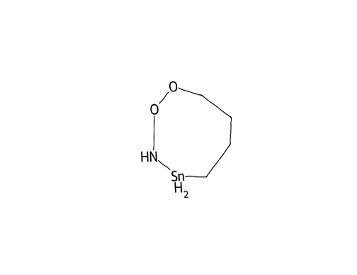 C1C[CH2][SnH2][NH]OOC1